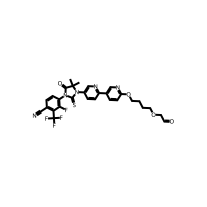 CC1(C)C(=O)N(c2ccc(C#N)c(C(F)(F)F)c2F)C(=S)N1c1ccc(-c2ccc(OCCCCOCC=O)nc2)nc1